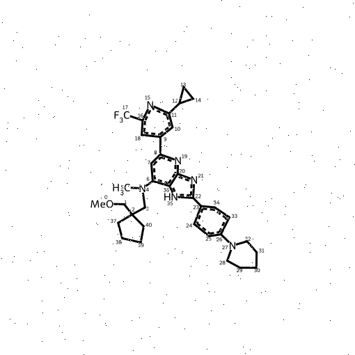 COCC1(CN(C)c2cc(-c3cc(C4CC4)nc(C(F)(F)F)c3)nc3nc(-c4ccc(N5CCCCC5)cc4)[nH]c23)CCCC1